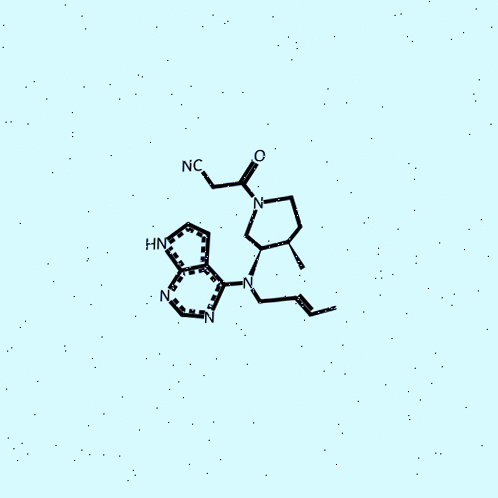 C/C=C/CN(c1ncnc2[nH]ccc12)[C@H]1CN(C(=O)CC#N)CC[C@H]1C